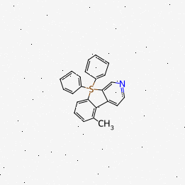 Cc1cccc2c1-c1ccncc1S2(c1ccccc1)c1ccccc1